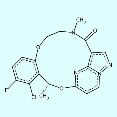 C[C@H]1Oc2ccn3ncc(c3n2)C(=O)N(C)CCOc2ccc(F)c(Cl)c21